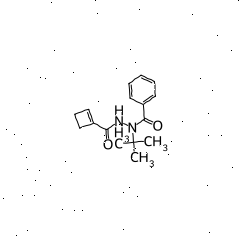 CC(C)(C)N(NC(=O)C1=CCC1)C(=O)c1ccccc1